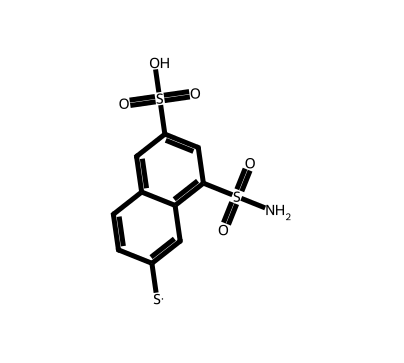 NS(=O)(=O)c1cc(S(=O)(=O)O)cc2ccc([S])cc12